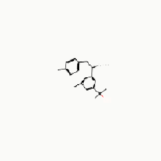 CNC(Cc1ccc(C(C)(C)C)cc1)c1cc(C)cc(C(C)(C)O)c1